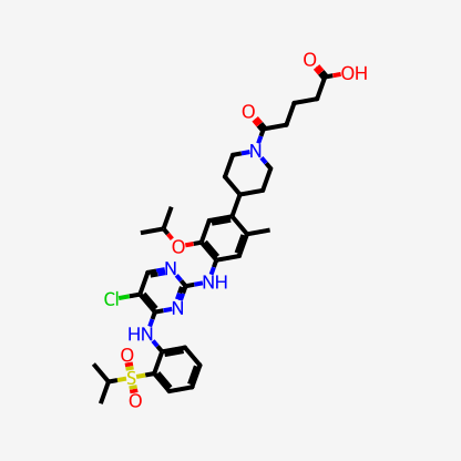 Cc1cc(Nc2ncc(Cl)c(Nc3ccccc3S(=O)(=O)C(C)C)n2)c(OC(C)C)cc1C1CCN(C(=O)CCCC(=O)O)CC1